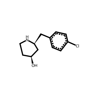 O[C@H]1CCN[C@@H](Cc2ccc(Cl)cc2)C1